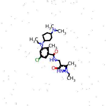 CCN(c1cc(Cl)cc(C(=O)NCc2c(C)n(CC)[nH]c2=O)c1C)C1CCC(N(C)C)CC1